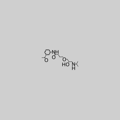 CC(=O)c1cccc(NC(=O)CCCOCC(O)CNC(C)C)c1